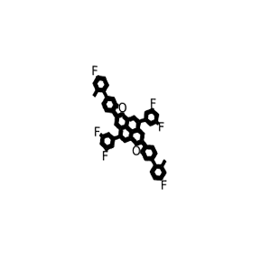 Cc1cc(F)ccc1-c1ccc2c(c1)oc1c2cc2c(-c3cc(F)cc(F)c3)cc3c4oc5cc(-c6ccc(F)cc6C)ccc5c4cc4c(-c5cc(F)cc(F)c5)cc1c2c43